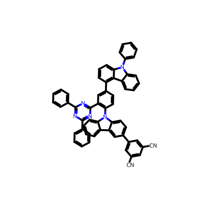 N#Cc1cc(C#N)cc(-c2ccc3c(c2)c2ccccc2n3-c2ccc(-c3cccc4c3c3ccccc3n4-c3ccccc3)cc2-c2nc(-c3ccccc3)nc(-c3ccccc3)n2)c1